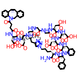 CC(C)Cc1cn(CCCC[C@H](NC(=O)[C@H](Cc2ccccc2)NC(=O)[C@H](Cc2ccccc2)NC(=O)[C@H](CC(=O)O)NC(=O)[C@H](CC(=O)O)NC(=O)[C@H](CC(=O)O)NC(=O)CNC(=O)CNC(=O)CNC(=O)[C@H](CC(=O)O)NC(=O)[C@H](CC(=O)O)NC(=O)CCC(=O)N2Cc3ccccc3/C=C\c3ccccc32)C(N)=O)nn1